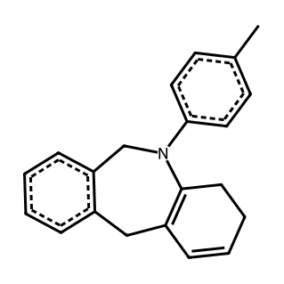 Cc1ccc(N2Cc3ccccc3CC3=C2CCC=C3)cc1